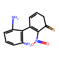 Nc1cccc(N)c1C1=C([N+](=O)[O-])C(=S)CC=C1